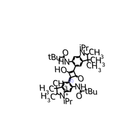 CC(C)N1c2cc(NC(=O)C(C)(C)C)c(C3=C(O)/C(=c4\cc5c(cc4NC(=O)C(C)(C)C)=[N+](C(C)C)C(C)C5(C)C)C3=O)cc2C(C)(C)C1C